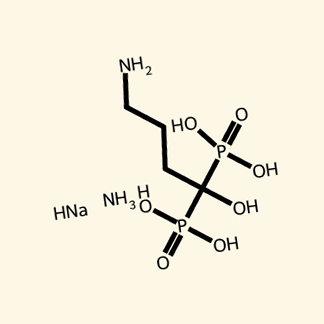 N.NCCCC(O)(P(=O)(O)O)P(=O)(O)O.[NaH]